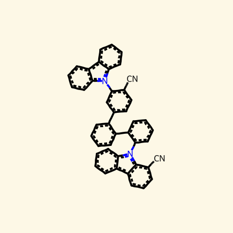 N#Cc1ccc(-c2ccccc2-c2ccccc2-n2c3ccccc3c3cccc(C#N)c32)cc1-n1c2ccccc2c2ccccc21